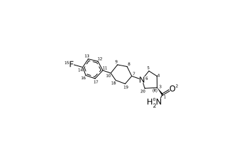 NC(=O)[C@@H]1CCN(C2CCC(c3ccc(F)cc3)CC2)C1